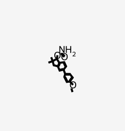 CCOc1ccc(-c2ccc3c(c2)CC(C)(C)C3OC(N)=O)cc1